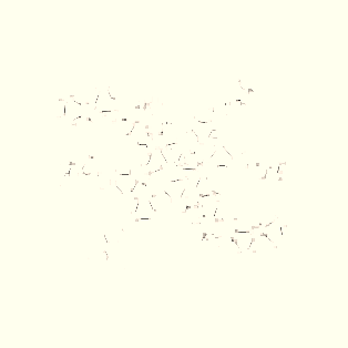 C=C(C)C(=O)OCCc1ccc(Oc2cc3c4c(cc(Oc5ccc(CCOC(=O)C(=C)C)cc5)c5c6c(Oc7ccc(CCOC(=O)C(=C)C)cc7)cc7c8c(cc(Oc9ccc(CCOC(=O)C(=C)C)cc9)c(c2c45)c86)C(=O)N(C(CC(C)C)C(=O)OCc2cccc4c2oc2ccccc24)C7=O)C(=O)N(C(CC(C)C)C(=O)OCc2cccc4c2oc2ccccc24)C3=O)cc1